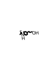 CC(=S)Nc1ccc(/C=C/CO)cc1